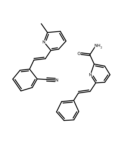 Cc1cccc(C=Cc2ccccc2C#N)n1.NC(=O)c1cccc(C=Cc2ccccc2)n1